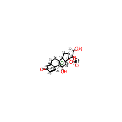 CCC(=O)O[C@]1(C(=O)CO)[C@@H](C)CC2C3CCC4=CC(=O)C=C[C@]4(C)[C@@]3(Cl)[C@@H](O)C[C@@]21C